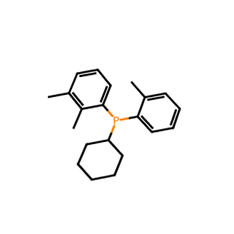 Cc1ccccc1P(c1cccc(C)c1C)C1CCCCC1